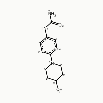 NC(=O)Nc1cnc(N2CCC(O)CC2)nc1